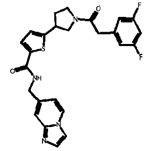 O=C(NCc1ccn2ccnc2c1)c1ccc(C2CCN(C(=O)Cc3cc(F)cc(F)c3)C2)s1